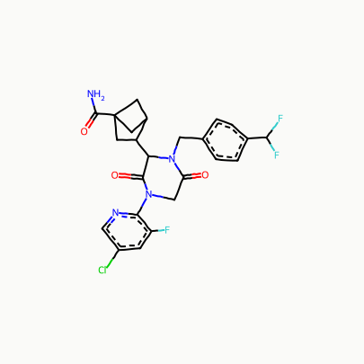 NC(=O)C12CC(C1)C(C1C(=O)N(c3ncc(Cl)cc3F)CC(=O)N1Cc1ccc(C(F)F)cc1)C2